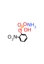 NOP(=O)(O)Oc1ccccc1[N+](=O)[O-]